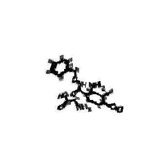 CC1C(=C=O)C=CC(C(=O)NOCc2ccccc2)=C1N.NCC(=O)O